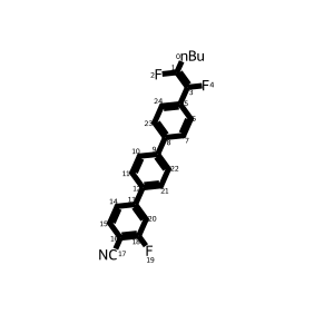 CCCC/C(F)=C(\F)c1ccc(-c2ccc(-c3ccc(C#N)c(F)c3)cc2)cc1